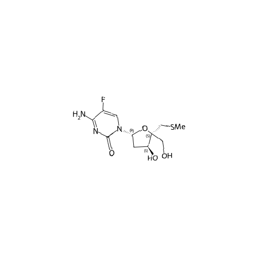 CSC[C@@]1(CO)O[C@@H](n2cc(F)c(N)nc2=O)C[C@@H]1O